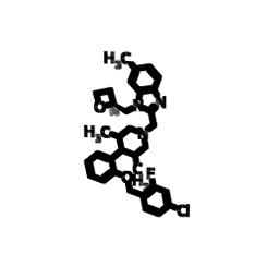 Cc1ccc2nc(CN3CC(C)C(c4ccccc4OCc4ccc(Cl)cc4F)C(C)C3)n(C[C@@H]3CCO3)c2c1